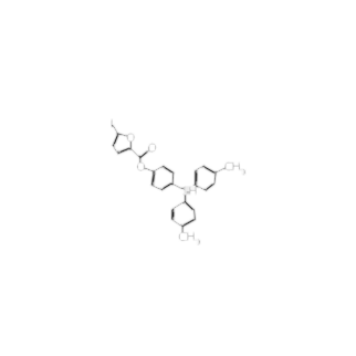 Cc1ccc([SH](c2ccc(C)cc2)c2ccc(OC(=O)c3ccc(I)o3)cc2)cc1